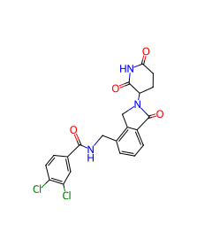 O=C1CCC(N2Cc3c(CNC(=O)c4ccc(Cl)c(Cl)c4)cccc3C2=O)C(=O)N1